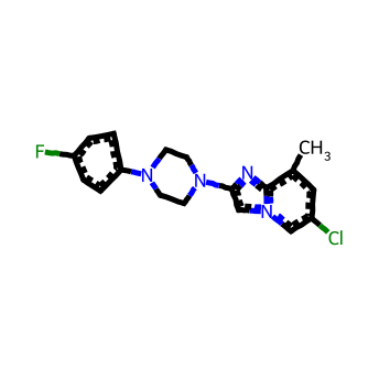 Cc1cc(Cl)cn2cc(N3CCN(c4ccc(F)cc4)CC3)nc12